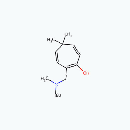 CN(CC1=C(O)C=CC(C)(C)C=C1)C(C)(C)C